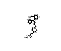 CCOC(=O)CCC1CCN(CCC=C2c3ccccc3CCc3ccccc32)CC1